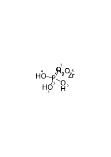 O.O=P(O)(O)O.[Zr]